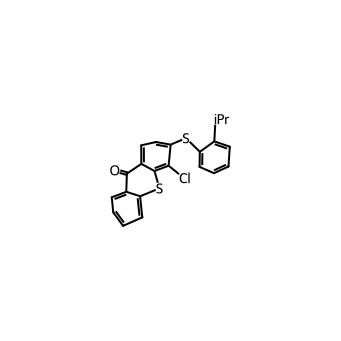 CC(C)c1ccccc1Sc1ccc2c(=O)c3ccccc3sc2c1Cl